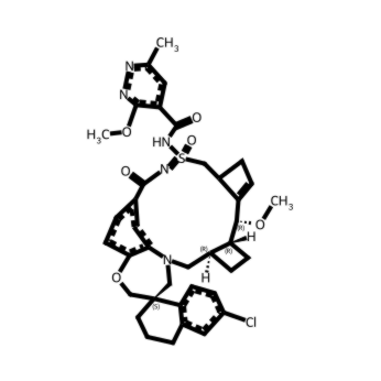 COc1nnc(C)cc1C(=O)NS1(=O)=NC(=O)c2ccc3c(c2)N(C[C@@H]2CC[C@H]2[C@@H](OC)C2=CCC2C1)C[C@@]1(CCCc2cc(Cl)ccc21)CO3